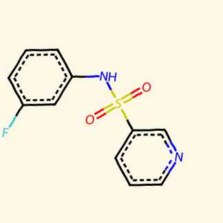 O=S(=O)(Nc1cccc(F)c1)c1cccnc1